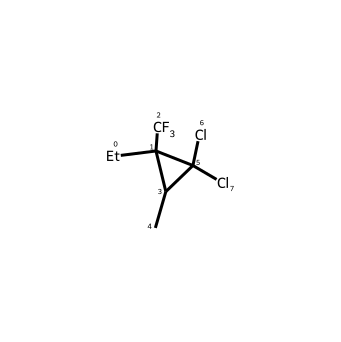 CCC1(C(F)(F)F)C(C)C1(Cl)Cl